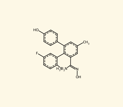 Cc1cc(/C(N)=N/O)c(-c2cc(F)ccc2C)c(-c2ccc(O)cc2)c1